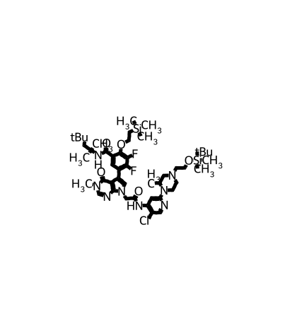 CC1CN(CCO[Si](C)(C)C(C)(C)C)CCN1c1cc(NC(=O)Cn2cc(-c3cc(C(=O)NC(C)(C)CC(C)(C)C)c(OCC[Si](C)(C)C)c(F)c3F)c3c(=O)n(C)cnc32)c(Cl)cn1